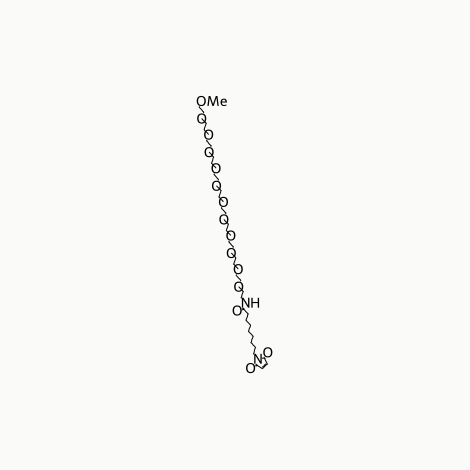 COCCOCCOCCOCCOCCOCCOCCOCCOCCOCCOCCOCCNC(=O)CCCCCCCCN1C(=O)C=CC1=O